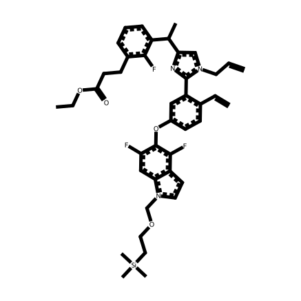 C=CCn1cc(C(C)c2cccc(CCC(=O)OCC)c2F)nc1-c1cc(Oc2c(F)cc3c(ccn3COCC[Si](C)(C)C)c2F)ccc1C=C